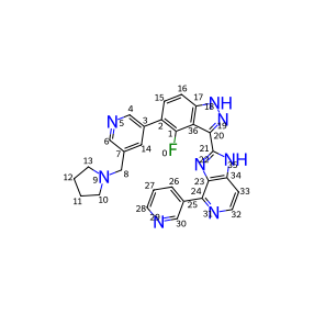 Fc1c(-c2cncc(CN3CCCC3)c2)ccc2[nH]nc(-c3nc4c(-c5cccnc5)nccc4[nH]3)c12